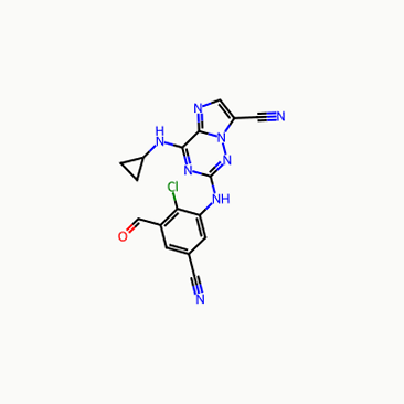 N#Cc1cc(C=O)c(Cl)c(Nc2nc(NC3CC3)c3ncc(C#N)n3n2)c1